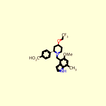 COc1cc(C)c2[nH]ccc2c1CN1CC[C@H](OCC(F)(F)F)C[C@H]1c1ccc(C(=O)O)cc1